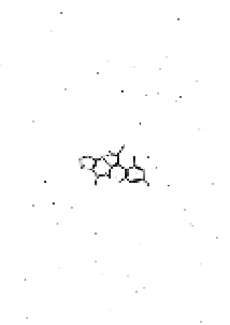 Cc1cc(C)c(-c2c(C)nn3c4c(c(C)nc23)CCC4)c(C)c1